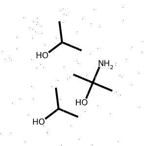 CC(C)(N)O.CC(C)O.CC(C)O